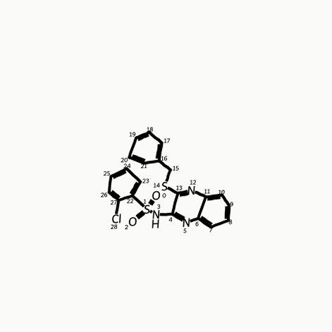 O=S(=O)(Nc1nc2ccccc2nc1SCc1ccccc1)c1ccccc1Cl